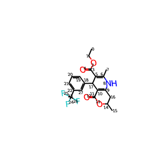 CCOC(=O)C1=C(C)NC2=C(C(=O)OC(C)C2)C1c1cccc(C(F)(F)F)c1